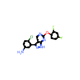 Nc1ccc(Cl)c(-c2n[nH]c3nc(Oc4ccc(F)cc4F)ncc23)c1